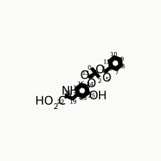 CC(C)(OC(=O)c1ccccc1)C(=O)Oc1ccc(C[C@H](N)C(=O)O)cc1O